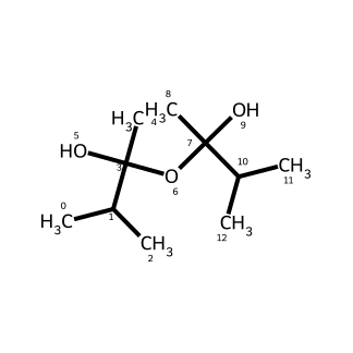 CC(C)C(C)(O)OC(C)(O)C(C)C